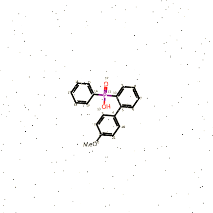 COc1ccc(-c2ccccc2P(=O)(O)c2ccccc2)cc1